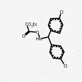 CCOC(=O)C(=O)ONC(c1ccc(Cl)cc1)c1ccc(Cl)cc1